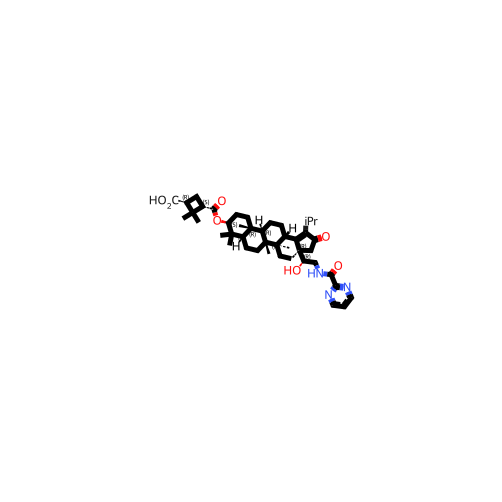 CC(C)C1=C2[C@H]3CC[C@@H]4[C@@]5(C)CC[C@H](OC(=O)[C@H]6C[C@@H](C(=O)O)C6(C)C)C(C)(C)[C@@H]5CC[C@@]4(C)[C@]3(C)CC[C@@]2([C@@H](O)CNC(=O)c2ncccn2)CC1=O